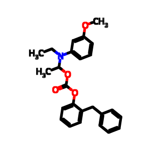 CCN(c1cccc(OC)c1)C(C)OC(=O)Oc1ccccc1Cc1ccccc1